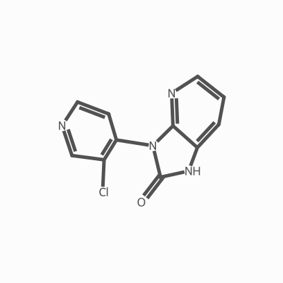 O=c1[nH]c2cccnc2n1-c1ccncc1Cl